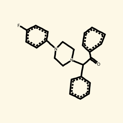 O=C(c1ccccc1)C(c1ccccc1)N1CCN(c2ccc(F)cc2)CC1